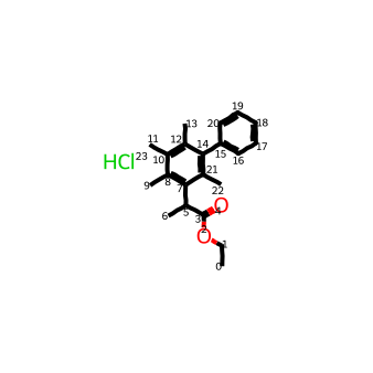 CCOC(=O)C(C)c1c(C)c(C)c(C)c(-c2ccccc2)c1C.Cl